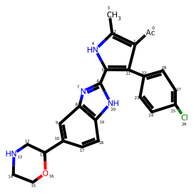 CC(=O)c1c(C)[nH]c(-c2nc3cc(C4CNCCO4)ccc3[nH]2)c1-c1ccc(Cl)cc1